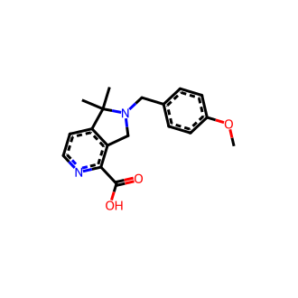 COc1ccc(CN2Cc3c(ccnc3C(=O)O)C2(C)C)cc1